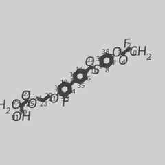 C=C(F)C(=O)Oc1ccc(SC(=O)c2ccc(-c3ccc(OCCCOC(=O)C(=C)CO)c(F)c3)cc2)cc1